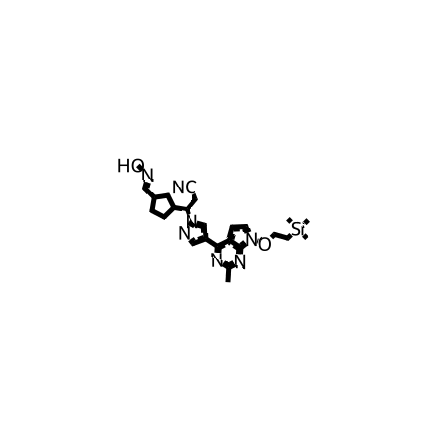 Cc1nc(-c2cnn(C(CC#N)C3CCC(C=NO)C3)c2)c2ccn(OCC[Si](C)(C)C)c2n1